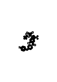 CN(C)c1cn(C2(OC(=O)C(C)(C)C)C(=O)C2=O)c2cc(Cl)c(C(=O)N3CCC(Cc4ccc(F)cc4)CC3)cc12